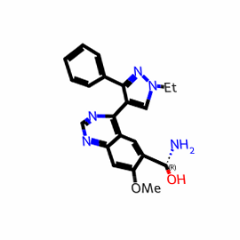 CCn1cc(-c2ncnc3cc(OC)c([C@H](N)O)cc23)c(-c2ccccc2)n1